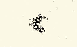 Cc1nc(C(N)=O)ncc1-c1c[nH]c2ncc(N3CCOCC3)cc12